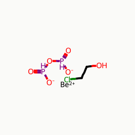 O=[PH]([O-])O[PH](=O)[O-].OCCCl.[Be+2]